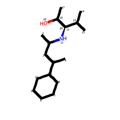 CC(CC(C)C1CCCCC1)N[C@H](C(C)C)C(C)O